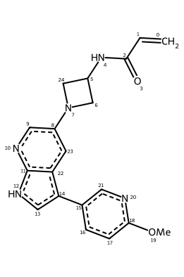 C=CC(=O)NC1CN(c2cnc3[nH]cc(-c4ccc(OC)nc4)c3c2)C1